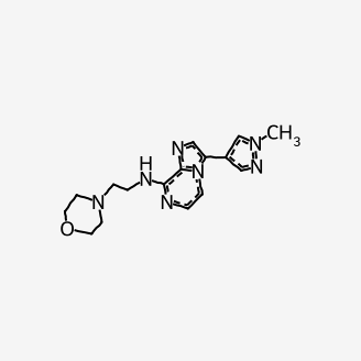 Cn1cc(-c2cnc3c(NCCN4CCOCC4)nccn23)cn1